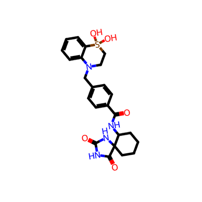 O=C1NC(=O)C2(CCCCC2NC(=O)c2ccc(CN3CCS(O)(O)c4ccccc43)cc2)N1